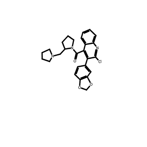 O=C(c1c(-c2ccc3c(c2)OCO3)c(Cl)nc2ccccc12)N1CCCC1CN1CCCC1